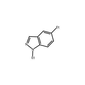 CCc1ccc2c(cnn2CC)c1